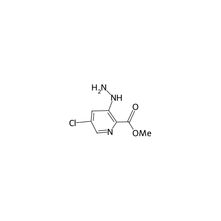 COC(=O)c1ncc(Cl)cc1NN